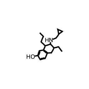 CCCC1c2cc(O)ccc2CC(CC)C1NCC1CC1